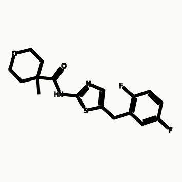 CC1(C(=O)Nc2ncc(Cc3cc(F)ccc3F)s2)CCOCC1